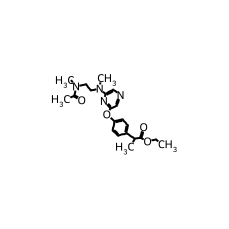 CCOC(=O)C(C)c1ccc(Oc2cncc(N(C)CCN(C)C(C)=O)n2)cc1